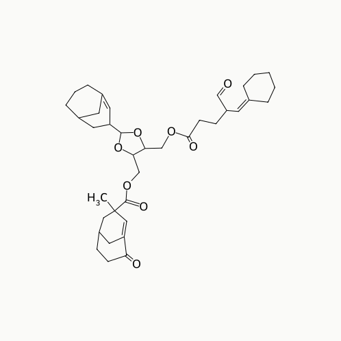 CC1(C(=O)OCC2OC(C3C=C4CCCC(C4)C3)OC2COC(=O)CCC(C=O)C=C2CCCCC2)C=C2CC(CCC2=O)C1